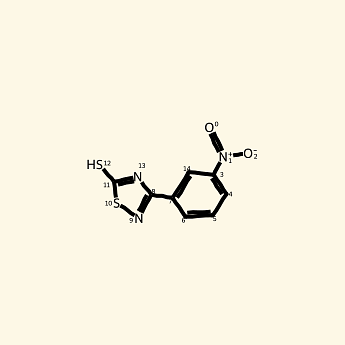 O=[N+]([O-])c1cccc(-c2nsc(S)n2)c1